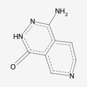 Nc1n[nH]c(=O)c2cnccc12